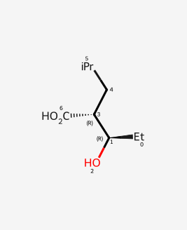 CC[C@@H](O)[C@@H](CC(C)C)C(=O)O